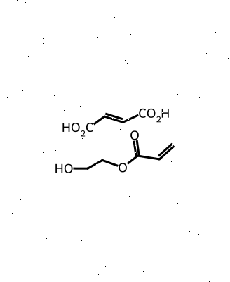 C=CC(=O)OCCO.O=C(O)/C=C/C(=O)O